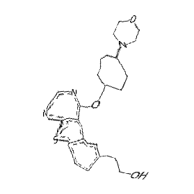 OCCc1ccc2sc3ncnc(OC4CCC(N5CCOCC5)CC4)c3c2c1